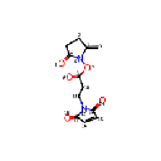 C=C1CCC(=O)N1OC(=O)CCN1C(=O)C=CC1=O